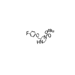 CC(C)(C)OC(=O)N1CCNC(COc2ccc(F)cc2)C1